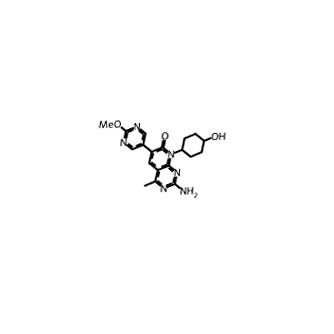 COc1ncc(-c2cc3c(C)nc(N)nc3n(C3CCC(O)CC3)c2=O)cn1